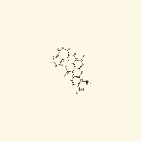 CNc1ccc(C(c2ccc(C)c(CN3CCOc4ccccc4C3)c2)C(C)C)c(C)c1N